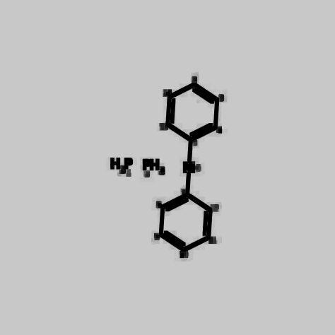 P.P.c1cc[c]([Ni][c]2ccccc2)cc1